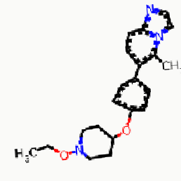 CCON1CCC(Oc2ccc(-c3ccc4nccn4c3C)cc2)CC1